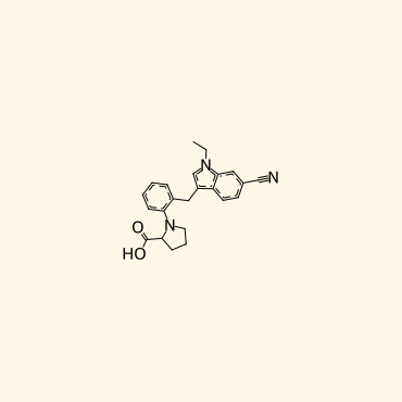 CCn1cc(Cc2ccccc2N2CCCC2C(=O)O)c2ccc(C#N)cc21